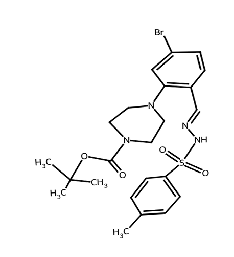 Cc1ccc(S(=O)(=O)N/N=C/c2ccc(Br)cc2N2CCN(C(=O)OC(C)(C)C)CC2)cc1